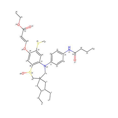 CCCCC1(CCCC)CN(c2ccc(NC(=O)CCC)cc2)c2cc(SC)c(O/C=C/C(=O)OCC)cc2[S+]([O-])C1